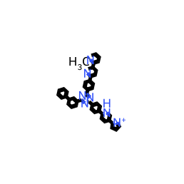 CN1CC=CC=C1C1C=NC(c2ccc(-c3nc(C4=CC(c5ccccc5)CC=C4)nc(-c4ccc(C5C=CC(C6=[N+]=CC=C6)=CN5)cc4)n3)cc2)=CC1